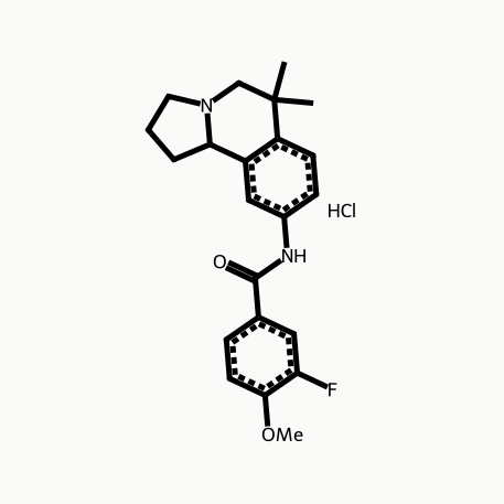 COc1ccc(C(=O)Nc2ccc3c(c2)C2CCCN2CC3(C)C)cc1F.Cl